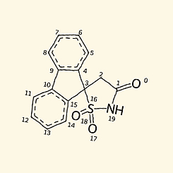 O=C1CC2(c3ccccc3-c3ccccc32)S(=O)(=O)N1